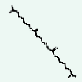 CC(C)CCCCCOC(=O)CCSSCC(=O)OCCCCCC(C)C